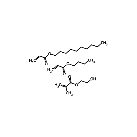 C=C(C)C(=O)OCCO.C=CC(=O)OCCCC.C=CC(=O)OCCCCCCCCCC